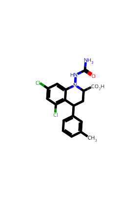 Cc1cccc(C2CC(C(=O)O)N(NC(N)=O)c3cc(Cl)cc(Cl)c32)c1